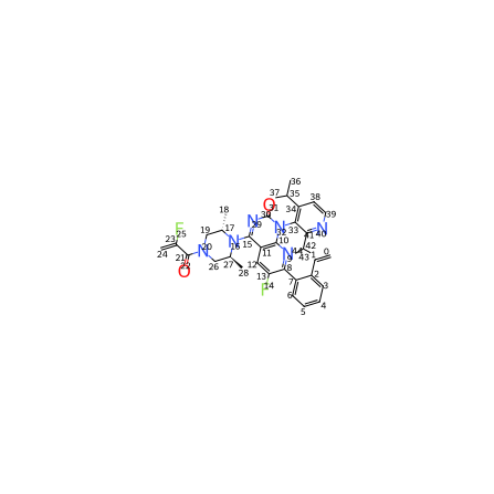 C=Cc1ccccc1-c1nc2c(cc1F)c(N1[C@@H](C)CN(C(=O)C(=C)F)C[C@@H]1C)nc(=O)n2-c1c(C(C)C)ccnc1C(C)C